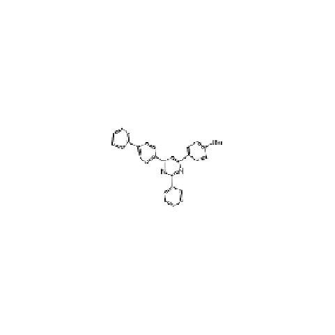 CC(C)(C)c1ccc(-c2cc(-c3ccc(-c4ccccc4)cc3)nc(-c3ccccc3)n2)cc1